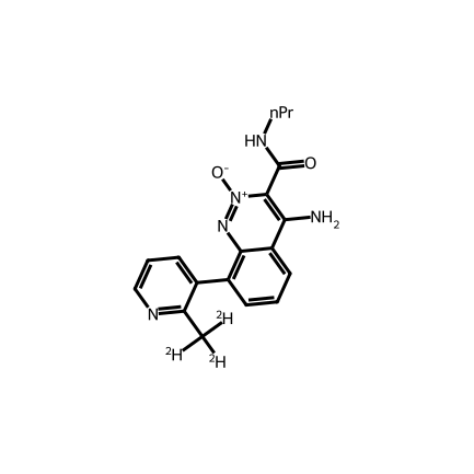 [2H]C([2H])([2H])c1ncccc1-c1cccc2c(N)c(C(=O)NCCC)[n+]([O-])nc12